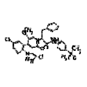 COc1cn(C(Cc2ccccc2)C(=O)Nc2ccc(P(C)(C)=O)cc2)c(=O)cc1-c1cc(Cl)ccc1-n1cc(Cl)nn1